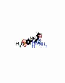 CS(=O)(=O)c1ccc(CNc2nc(N)nc(-c3ccco3)c2C#N)cc1